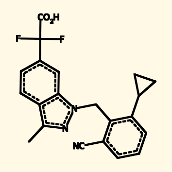 Cc1nn(Cc2c(C#N)cccc2C2CC2)c2cc(C(F)(F)C(=O)O)ccc12